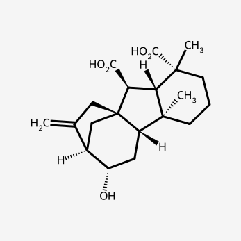 C=C1C[C@]23C[C@H]1[C@@H](O)C[C@H]2[C@]1(C)CCC[C@@](C)(C(=O)O)[C@H]1[C@@H]3C(=O)O